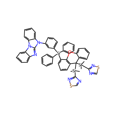 C[Si](C)(c1ncsn1)C1([Si](C)(C)c2ncsn2)c2ccccc2Oc2c1cccc2[Si](c1ccccc1)(c1ccccc1)c1cccc(-n2c3ccccc3n3c4ccccc4nc23)c1